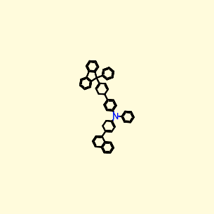 C1=C=C(C2=CC=C(N(c3ccccc3)c3ccc(C4C=CC(C5(c6ccccc6)c6ccccc6-c6ccccc65)=CC4)cc3)CC2)c2ccccc2C=1